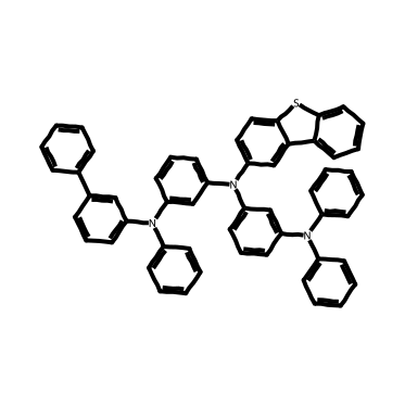 c1ccc(-c2cccc(N(c3ccccc3)c3cccc(N(c4cccc(N(c5ccccc5)c5ccccc5)c4)c4ccc5sc6ccccc6c5c4)c3)c2)cc1